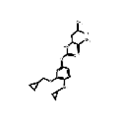 CC(C)C[C@H](NC(=O)Oc1ccc(NC2CC2)c(OCC2CC2)n1)C(N)=O